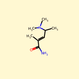 CC(=CC(C)N(C)C)C(N)=O